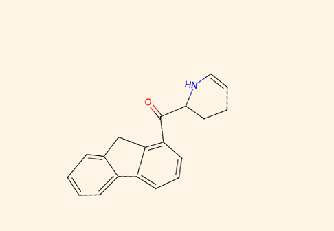 O=C(c1cccc2c1Cc1ccccc1-2)C1CCC=CN1